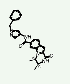 C[C@@H]1NC(=O)c2cc3ccc(C(=O)Nc4cnn(Cc5ccccc5)c4)cc3n2[C@@H]1C